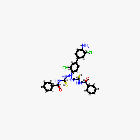 Nc1ccc(-c2ccc(N(NC(=S)NC(=O)c3ccccc3)NC(=S)NC(=O)c3ccccc3)c(Cl)c2)cc1Cl